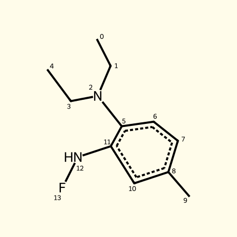 CCN(CC)c1ccc(C)cc1NF